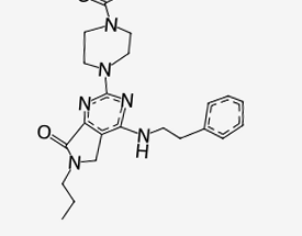 CCCN1Cc2c(NCCc3ccccc3)nc(N3CCN(C(C)=O)CC3)nc2C1=O